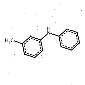 Cc1[c]c(Nc2ccccc2)ccc1